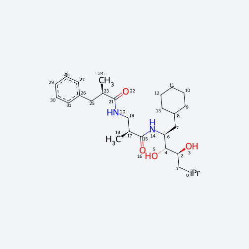 CC(C)C[C@H](O)[C@H](O)[C@H](CC1CCCCC1)NC(=O)[C@@H](C)CNC(=O)[C@H](C)Cc1ccccc1